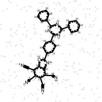 N#Cc1c(C#N)c(C#N)c2oc(-c3ccc(-c4nc(-c5ccccc5)nc(-c5ccccc5)n4)cc3)nc2c1C#N